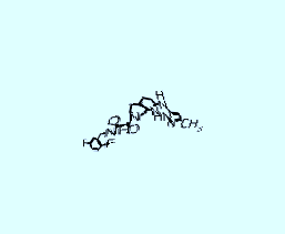 Cc1cc(Nc2ccc3c(n2)CN(C(=O)C(=O)NCc2cc(F)ccc2F)CC3)[nH]n1